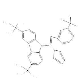 CC(C)(C)c1ccc2c(c1)-c1cc(C(C)(C)C)ccc1[CH]2[Zr](=[CH]c1cccc(C(F)(F)F)c1)[CH]1C=CC=C1